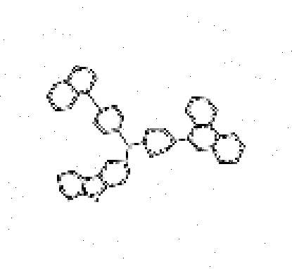 c1ccc2c(-c3ccc(N(c4ccc(-c5cc6ccccc6c6ccccc56)cc4)c4ccc5sc6ccccc6c5c4)cc3)cccc2c1